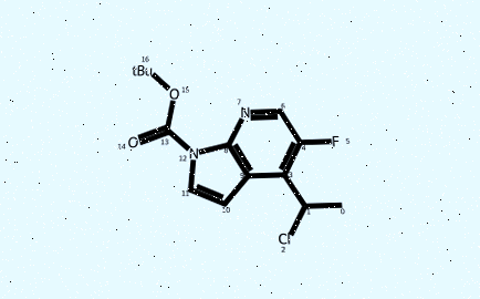 CC(Cl)c1c(F)cnc2c1ccn2C(=O)OC(C)(C)C